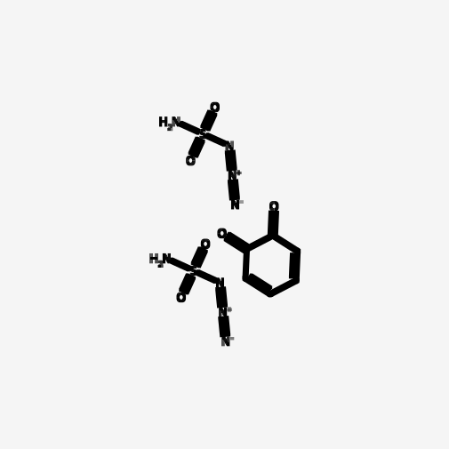 O=C1C=CC=CC1=O.[N-]=[N+]=NS(N)(=O)=O.[N-]=[N+]=NS(N)(=O)=O